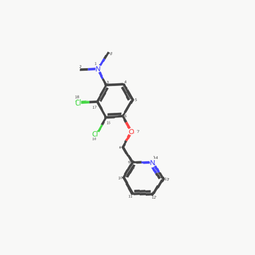 CN(C)c1ccc(OCc2ccccn2)c(Cl)c1Cl